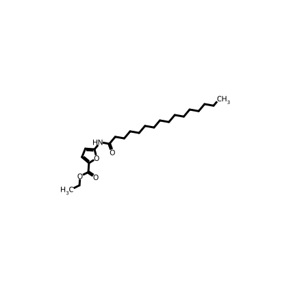 CCCCCCCCCCCCCCCC(=O)Nc1ccc(C(=O)OCC)o1